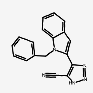 N#Cc1[nH]nnc1-c1cc2ccccc2n1Cc1ccccc1